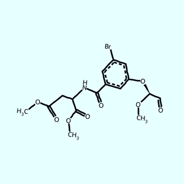 COC(=O)CC(NC(=O)c1cc(Br)cc(O[C@@H](C=O)OC)c1)C(=O)OC